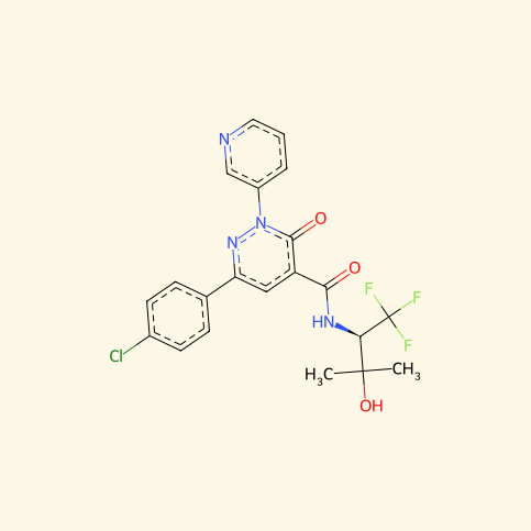 CC(C)(O)[C@@H](NC(=O)c1cc(-c2ccc(Cl)cc2)nn(-c2cccnc2)c1=O)C(F)(F)F